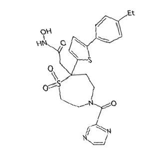 CCc1ccc(-c2ccc(C3(CC(=O)NO)CCN(C(=O)c4cnccn4)CCS3(=O)=O)s2)cc1